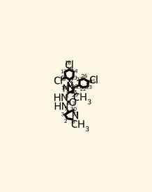 Cc1ccc(NC(=O)Nc2nn(-c3ccc(Cl)cc3Cl)c(-c3ccc(Cl)cc3)c2C)cn1